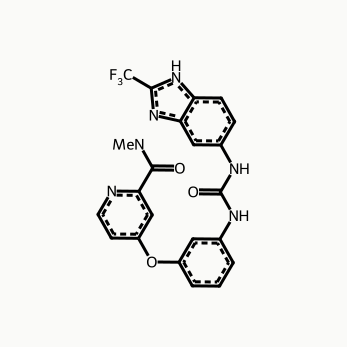 CNC(=O)c1cc(Oc2cccc(NC(=O)Nc3ccc4[nH]c(C(F)(F)F)nc4c3)c2)ccn1